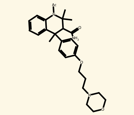 CC(=O)N1c2cc[c]cc2C(C)(c2ccc(OCCCN3CCOCC3)cc2)C(C(N)=O)C1(C)C